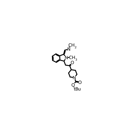 C=N/C=C1/c2ccccc2C(CC(=O)C2CCN(C(=O)OC(C)(C)C)CC2)N1C